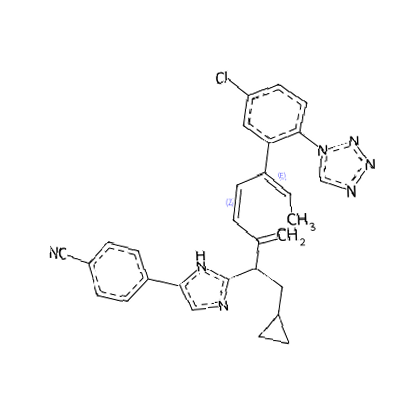 C=C(/C=C\C(=C/C)c1cc(Cl)ccc1-n1cnnn1)C(CC1CC1)c1ncc(-c2ccc(C#N)cc2)[nH]1